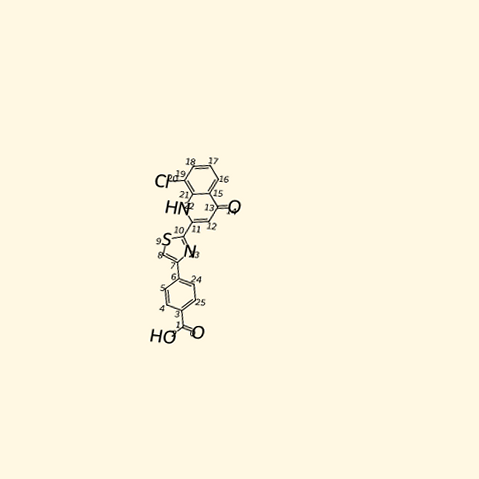 O=C(O)c1ccc(-c2csc(-c3cc(=O)c4cccc(Cl)c4[nH]3)n2)cc1